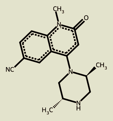 C[C@@H]1CN(c2cc(=O)n(C)c3ccc(C#N)cc23)[C@@H](C)CN1